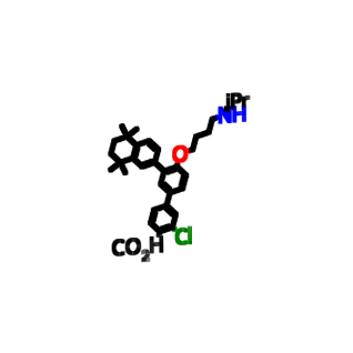 CC(C)NCCCCOc1ccc(-c2ccc(C(=O)O)c(Cl)c2)cc1-c1ccc2c(c1)C(C)(C)CCC2(C)C